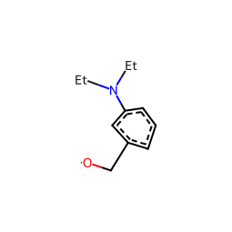 CCN(CC)c1cccc(C[O])c1